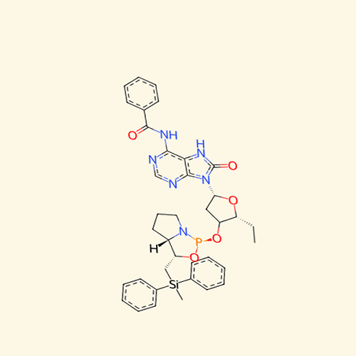 CC[C@H]1O[C@@H](n2c(=O)[nH]c3c(NC(=O)c4ccccc4)ncnc32)CC1O[P@@]1O[C@H](C[Si](C)(c2ccccc2)c2ccccc2)[C@@H]2CCCN21